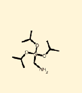 CC(C)O[Si](CN)(OC(C)C)OC(C)C